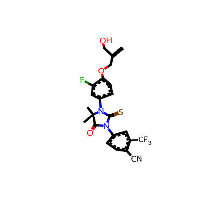 C=C(CO)COc1ccc(N2C(=S)N(c3ccc(C#N)c(C(F)(F)F)c3)C(=O)C2(C)C)cc1F